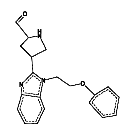 O=CC1CC(c2nc3ccccc3n2CCOc2ccccc2)CN1